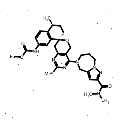 CSc1nc2c(c(N3CCCn4nc(C(=O)N(C)C)cc4C3)n1)CO[C@@]1(CC[C@H](C)c3ccc(NC(=O)OC(C)(C)C)cc31)C2